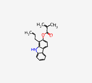 C=CCc1c(OC(=O)C(=C)C)ccc2c1[nH]c1ccccc12